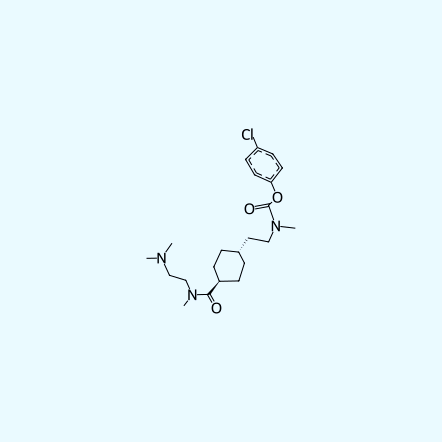 CN(C)CCN(C)C(=O)[C@H]1CC[C@H](CCN(C)C(=O)Oc2ccc(Cl)cc2)CC1